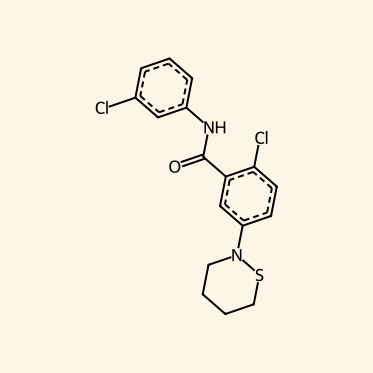 O=C(Nc1cccc(Cl)c1)c1cc(N2CCCCS2)ccc1Cl